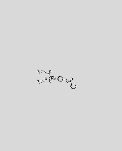 CCCC(=O)/C(=C/Nc1ccc(COC(=O)c2ccccc2)cc1)C(=O)OCC